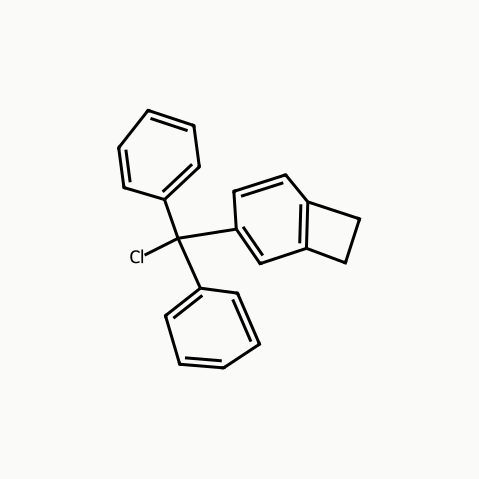 ClC(c1ccccc1)(c1ccccc1)c1ccc2c(c1)CC2